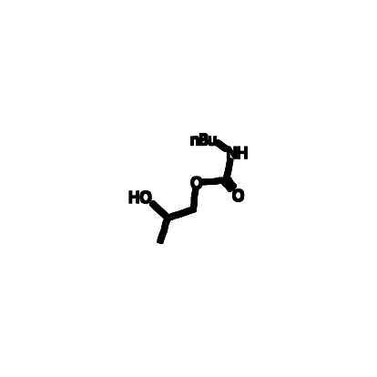 CCCCNC(=O)OCC(C)O